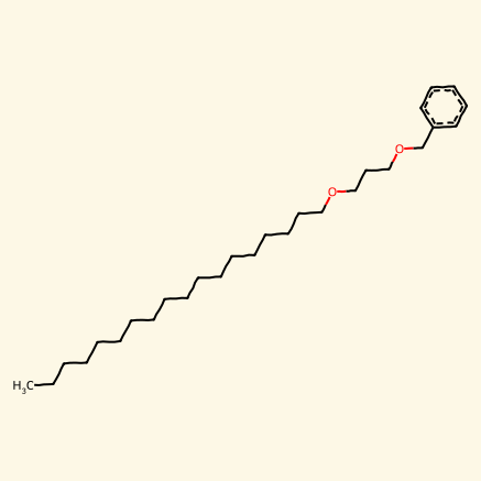 CCCCCCCCCCCCCCCCCCOCCCOCc1ccccc1